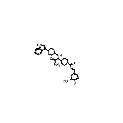 Cc1cc(/C=C/C(=O)N2CCC(C(NC3CCC(c4c[nH]c5ccccc45)CC3)C(N)=O)CC2)ccc1F